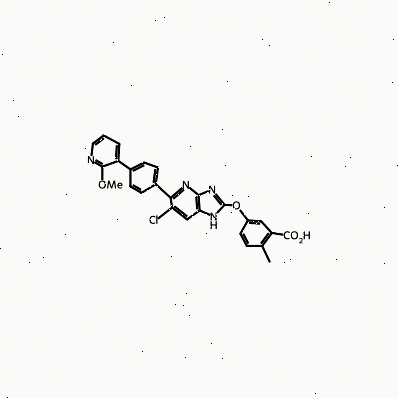 COc1ncccc1-c1ccc(-c2nc3nc(Oc4ccc(C)c(C(=O)O)c4)[nH]c3cc2Cl)cc1